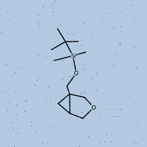 CC(C)(C)[Si](C)(C)OCC12COCC1C2